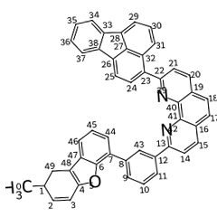 CC1C=Cc2oc3c(-c4cccc(-c5ccc6ccc7ccc(-c8ccc9c%10c(cccc8%10)-c8ccccc8-9)nc7c6n5)c4)cccc3c2C1